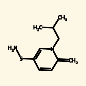 C=C1C=CC(SN)=CN1CC(C)C